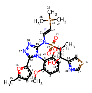 COc1cccc(O)c1-n1c(-c2ccc(C)o2)nnc1N(/C=C/S(C)(C)C)S(=O)(=O)[C@@H](C)[C@H](O)c1cscn1